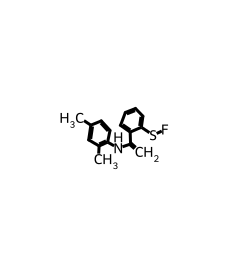 C=C(Nc1ccc(C)cc1C)c1ccccc1SF